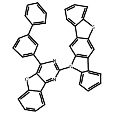 c1ccc(-c2cccc(-c3nc(-n4c5ccccc5c5cc6sc7ccccc7c6cc54)nc4c3oc3ccccc34)c2)cc1